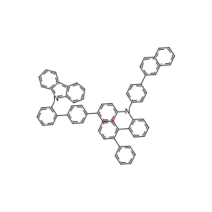 c1ccc(-c2ccccc2-c2ccccc2N(c2ccc(-c3ccc(-c4ccccc4-n4c5ccccc5c5ccccc54)cc3)cc2)c2ccc(-c3ccc4ccccc4c3)cc2)cc1